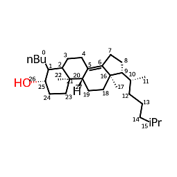 CCCCC1C2CCC3=C4CC[C@H]([C@H](C)CCCC(C)C)[C@@]4(C)CC[C@@H]3[C@@]2(C)CC[C@@H]1O